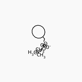 C[N+](C)(C)CCOP(=O)([O-])OCCC1CCCCCCCCCCCCCC1